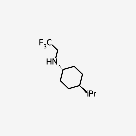 CC(C)[C@H]1CC[C@H](NCC(F)(F)F)CC1